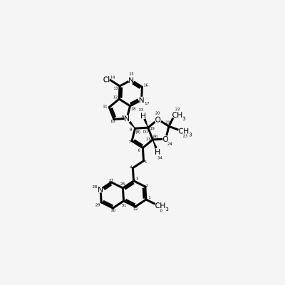 Cc1cc(CCC2=C[C@@H](n3ccc4c(Cl)ncnc43)[C@@H]3OC(C)(C)O[C@H]23)c2cnccc2c1